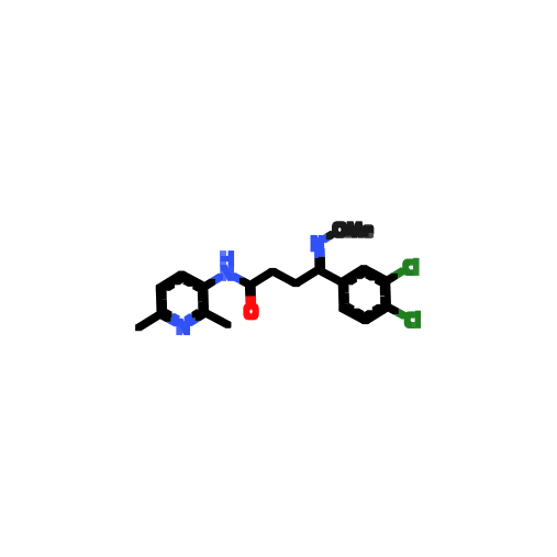 CON=C(CCC(=O)Nc1ccc(C)nc1C)c1ccc(Cl)c(Cl)c1